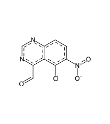 O=Cc1ncnc2ccc([N+](=O)[O-])c(Cl)c12